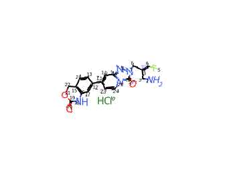 Cl.NC/C(=C\F)Cn1nc2cc(-c3ccc4c(c3)NC(=O)OC4)ccn2c1=O